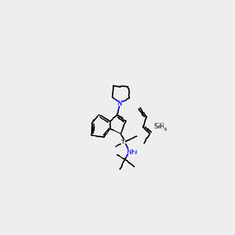 C=CC=CC.CC(C)(C)[NH][Ti]([CH3])([CH3])[CH]1C=C(N2CCCC2)c2ccccc21.[SiH4]